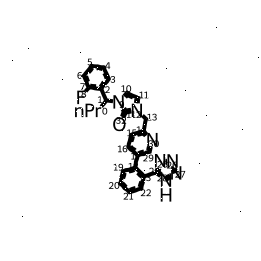 CCCC(c1ccccc1F)n1ccn(Cc2ccc(-c3ccccc3-c3nnn[nH]3)cn2)c1=O